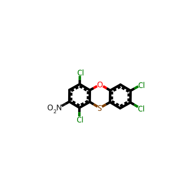 O=[N+]([O-])c1cc(Cl)c2c(c1Cl)Sc1cc(Cl)c(Cl)cc1O2